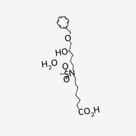 CS(=O)(=O)N(CCCCCCC(=O)O)CCCC(O)COCc1ccccc1.O